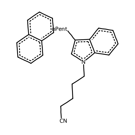 CCCCCc1cn(CCCCC#N)c2ccccc12.c1ccc2ccccc2c1